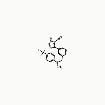 CN(Cc1cccc(-c2nn[nH]c2C#N)c1)c1ccc(C(F)(F)F)cc1